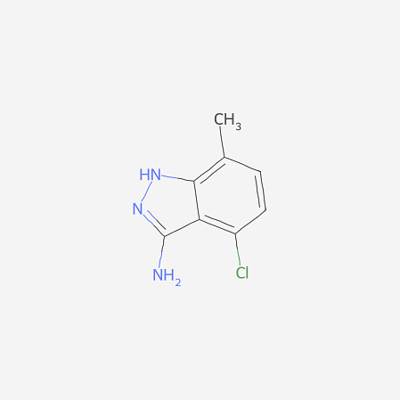 Cc1ccc(Cl)c2c(N)n[nH]c12